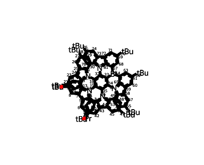 CC(C)c1ccc2c(c1)c1cc(C(C)(C)C)ccc1n2-c1c(-n2c3ccc(C(C)(C)C)cc3c3cc(C(C)(C)C)ccc32)c2c3c(c1-n1c4ccc(C(C)(C)C)cc4c4cc(C(C)(C)C)ccc41)-n1c4ccc(C(C)(C)C)cc4c4cc(C(C)(C)C)cc(c41)B3c1cc(C(C)(C)C)cc3c4cc(C(C)(C)C)ccc4n-2c13